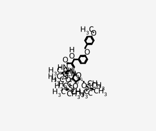 COc1ccc(COc2cccc(C(O)c3cn([C@@H]4O[C@H](CO[Si](C)(C)C(C)(C)C)[C@@H](O[Si](C)(C)C(C)(C)C)[C@H]4O[Si](C)(C)C(C)(C)C)c(=O)[nH]c3=O)c2)cc1